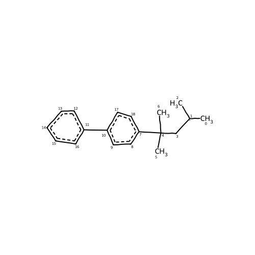 C[C](C)CC(C)(C)c1ccc(-c2ccccc2)cc1